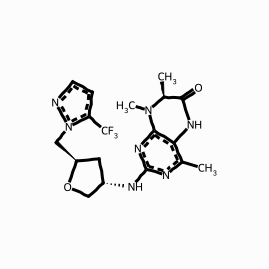 Cc1nc(N[C@@H]2CO[C@@H](Cn3nccc3C(F)(F)F)C2)nc2c1NC(=O)[C@H](C)N2C